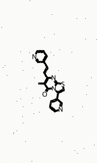 Cc1c(/C=C/c2cccnc2)nc2scc(-c3cccnc3)n2c1=O